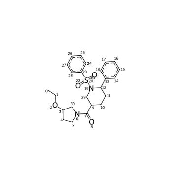 CCOC1CCN(C(=O)C2CCC(c3ccccc3)N(S(=O)(=O)c3ccccc3)C2)C1